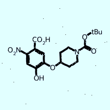 CC(C)(C)OC(=O)N1CCC(Oc2cc(C(=O)O)c([N+](=O)[O-])cc2O)CC1